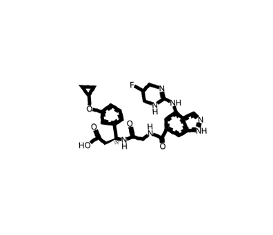 O=C(O)C[C@H](NC(=O)CNC(=O)c1cc(NC2=NCC(F)CN2)c2cn[nH]c2c1)c1cccc(OC2CC2)c1